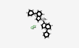 [CH2]=[Zr+2]([CH]1C=Cc2c(-c3ccccc3)cccc21)[CH]1C=Cc2c(-c3ccccc3)cccc21.[Cl-].[Cl-]